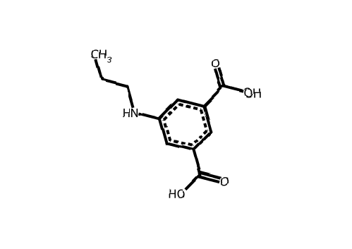 CCCNc1cc(C(=O)O)cc(C(=O)O)c1